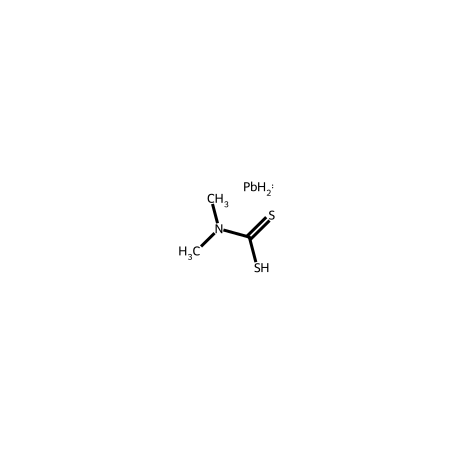 CN(C)C(=S)S.[PbH2]